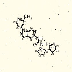 Cc1cc(-n2ncc3cc(NC(=O)N[C@H]4CCC[C@H]4c4ccccc4)ncc32)ccn1